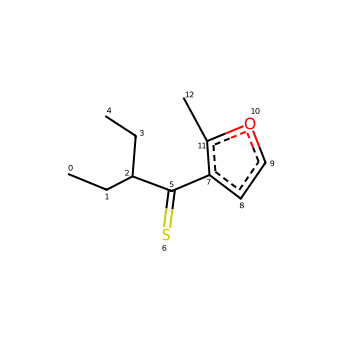 CCC(CC)C(=S)c1ccoc1C